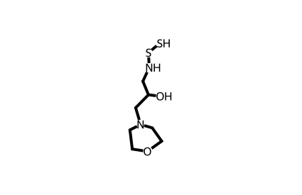 OC(CNSS)CN1CCOCC1